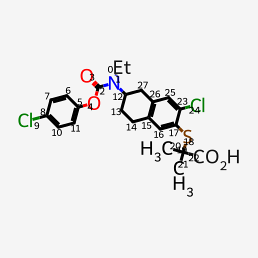 CCN(C(=O)Oc1ccc(Cl)cc1)C1CCc2cc(SC(C)(C)C(=O)O)c(Cl)cc2C1